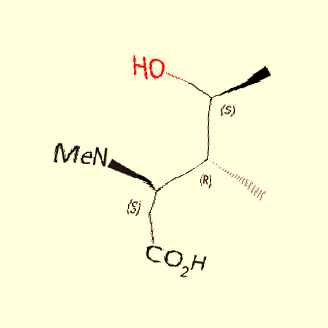 CN[C@H](C(=O)O)[C@@H](C)[C@H](C)O